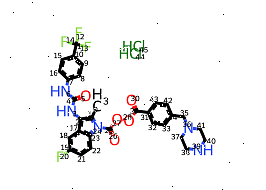 Cc1c(NC(=O)Nc2ccc(C(F)(F)F)cc2)c2cc(F)ccc2n1C(=O)OOC(=O)c1ccc(CN2CCNCC2)cc1.Cl.Cl